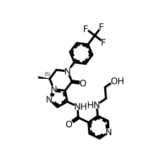 C[C@H]1CN(c2ccc(C(F)(F)F)cc2)C(=O)c2c(NC(=O)c3ccncc3NCCO)cnn21